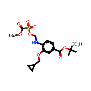 CC(C)(C)OC(=O)S(=O)(=O)OCNc1ccc(C(=O)OC(C)(C)C(=O)O)cc1OCC1CC1